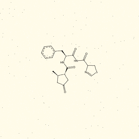 C[C@@H]1CC(=O)C[C@@H]1C(=O)N[C@@H](Cc1ccccc1)C(=O)NC(=O)C1CSC=N1